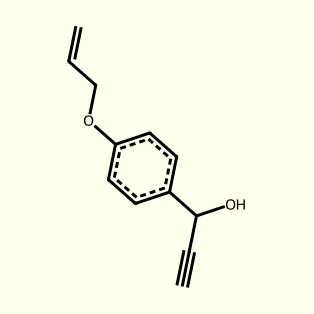 C#CC(O)c1ccc(OCC=C)cc1